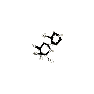 CC[C@@]1(O)C(=O)C[C@H](c2ccncc2[N+](=O)[O-])O[C@@H]1C